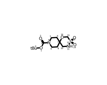 CC(C)(C)OC(=O)N1CCC2(CC1)CNS(=O)(=O)CO2